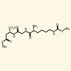 CC(C)(C)OC(=O)C[C@H](NC(=O)CNC(=O)[C@@H](N)CCCCNC(=O)OC(C)(C)C)C(=O)O